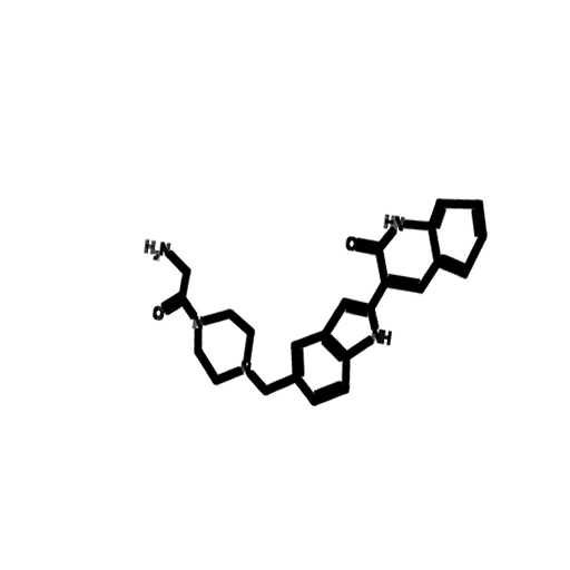 NCC(=O)N1CCN(Cc2ccc3[nH]c(-c4cc5ccccc5[nH]c4=O)cc3c2)CC1